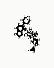 O=C(Nc1c(C2CCOCC2)ccc2c1CCC2)NS(=O)(=O)c1ccn(C2CC2)n1